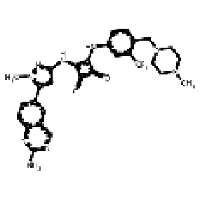 CN1CCN(Cc2ccc(Nc3c(Nc4cc(-c5ccc6nc(N)ncc6c5)n(C)n4)c(=O)c3=O)cc2C(F)(F)F)CC1